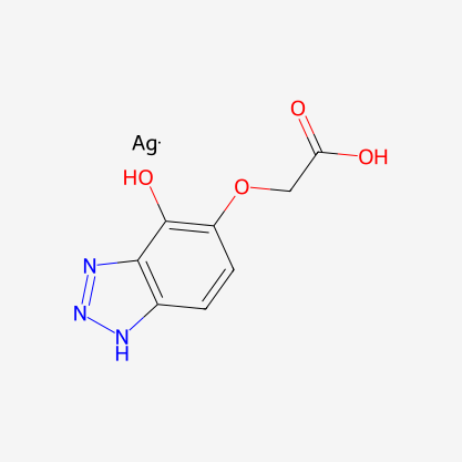 O=C(O)COc1ccc2[nH]nnc2c1O.[Ag]